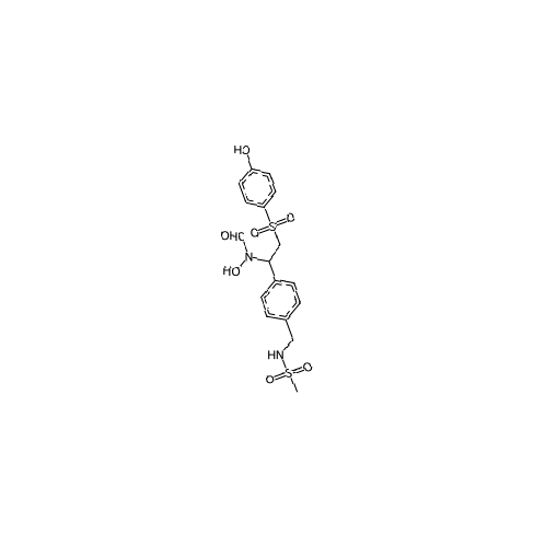 CS(=O)(=O)NCc1ccc(C(CS(=O)(=O)c2ccc(O)cc2)N(O)C=O)cc1